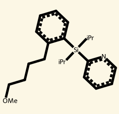 COCCCCc1ccccc1[Si](c1ccccn1)(C(C)C)C(C)C